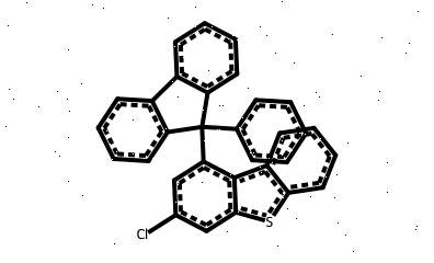 Clc1cc(C2(c3ccccc3)c3ccccc3-c3ccccc32)c2c(c1)sc1ccccc12